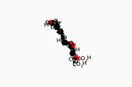 Cn1c(=O)n(C2CCC(=O)NC2=O)c2ccc(N3CCC(OCC(=O)Nc4cccc(CS(=O)(=O)N5CC[C@H](Nc6cccc(-c7sc(C(=O)O)c(OCC(=O)O)c7Cl)c6)CC5(C)C)c4)CC3)cc21